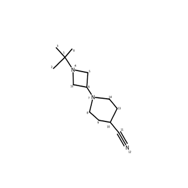 CC(C)(C)N1CC(N2CCC(C#N)CC2)C1